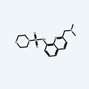 CN(C)Cc1ccc2cccc(NS(=O)(=O)N3CCOCC3)c2n1